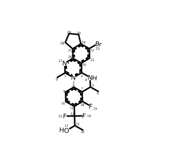 Cc1nc(NC(C)c2cccc(C(F)(F)C(C)O)c2F)c2cc(Br)c3c(c2n1)CCC3